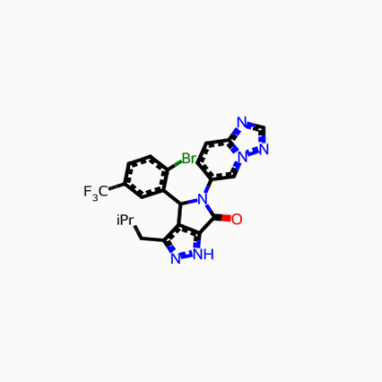 CC(C)Cc1n[nH]c2c1C(c1cc(C(F)(F)F)ccc1Br)N(c1ccc3ncnn3c1)C2=O